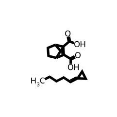 CCCCC=C1CC1.O=C(O)C1=C(C(=O)O)C2CCC1C2